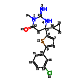 CN1C(=N)NC(c2ccc(-c3cccc(Cl)c3)s2)(C2CC2)CC1=O